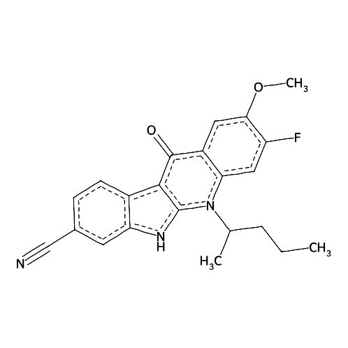 CCCC(C)n1c2cc(F)c(OC)cc2c(=O)c2c3ccc(C#N)cc3[nH]c21